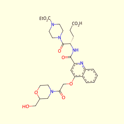 CCOC(=O)N1CCN(C(=O)[C@H](CCC(=O)O)NC(=O)c2cc(OCC(=O)N3CCOC(CO)C3)c3ccccc3n2)CC1